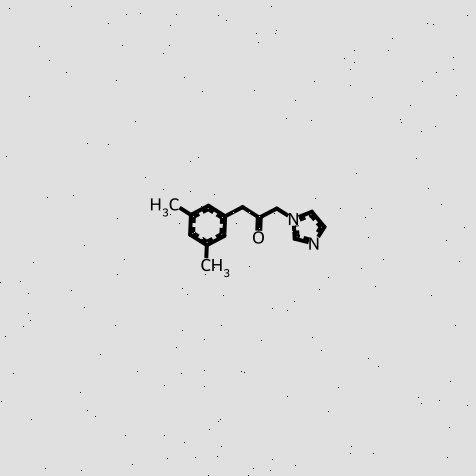 Cc1cc(C)cc(CC(=O)Cn2ccnc2)c1